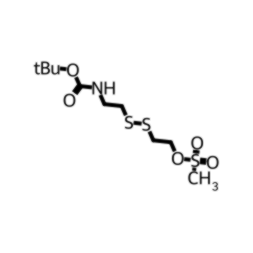 CC(C)(C)OC(=O)NCCSSCCOS(C)(=O)=O